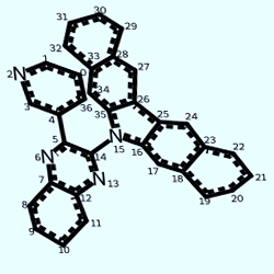 c1cncc(-c2nc3ccccc3nc2-n2c3cc4ccccc4cc3c3cc4ccccc4cc32)c1